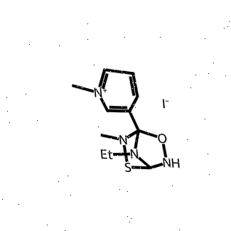 CCN1C2NOC1(c1ccc[n+](C)c1)N(C)S2.[I-]